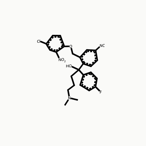 [C-]#[N+]c1ccc(C(O)(CCCN(C)C)c2ccc(F)cc2)c(COc2ccc(Cl)cc2[N+](=O)[O-])c1